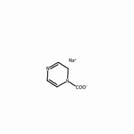 O=C([O-])N1C=CN=CC1.[Na+]